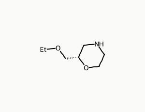 CCOC[C@@H]1CNCCO1